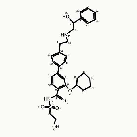 O=C(NS(=O)(=O)CCO)c1ccc(-c2ccc(CCNCC(O)c3ccccc3)cc2)cc1OC1CCCCC1